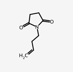 C=CCCN1C(=O)CCC1=O